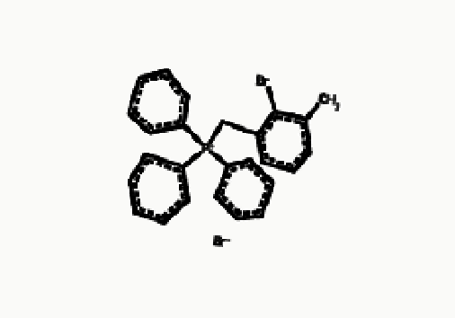 Cc1cccc(C[P+](c2ccccc2)(c2ccccc2)c2ccccc2)c1Br.[Br-]